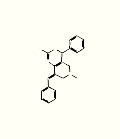 CN1CC(=Cc2ccccc2)C2=C(C1)C(c1ccccc1)NC(N)=N2